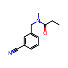 CCC(=O)N(C)Cc1cccc(C#N)c1